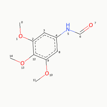 COc1cc(NC=O)cc(OC)c1OC